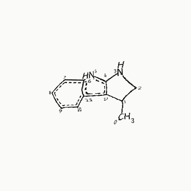 CC1CNc2[nH]c3ccccc3c21